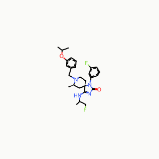 CC(CF)NC1=NC(=O)N(c2cccc(F)c2)[C@]12CCN(Cc1cccc(OC(C)C)c1)[C@H](C)C2